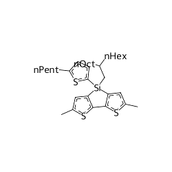 CCCCCCCCC(CCCCCC)C[Si]1(c2ccc(CCCCC)s2)c2cc(C)sc2-c2sc(C)cc21